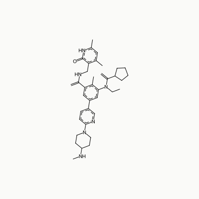 C=C(NCc1c(C)cc(C)[nH]c1=O)c1cc(-c2ccc(N3CCC(NC)CC3)nc2)cc(N(CC)C(=C)C2CCCC2)c1C